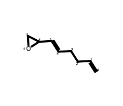 C=CCCC=CC1CO1